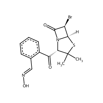 CC1(C)S[C@@H]2[C@H](Br)C(=O)N2[C@H]1C(=O)c1ccccc1/C=N/O